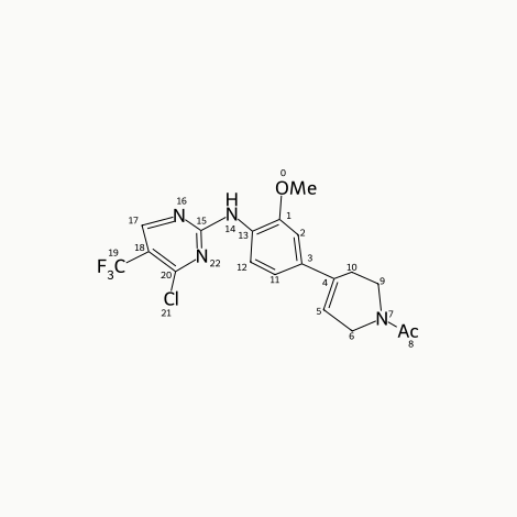 COc1cc(C2=CCN(C(C)=O)CC2)ccc1Nc1ncc(C(F)(F)F)c(Cl)n1